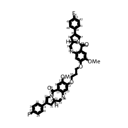 COc1cc2c(cc1OCCCOc1cc3c(cc1OC)C(=O)N1C=C(c4ccc(F)cc4)C[C@H]1C=N3)N=C[C@@H]1CC(c3ccc(F)cc3)=CN1C2=O